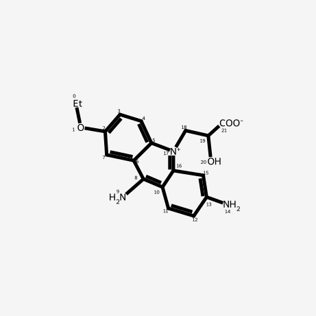 CCOc1ccc2c(c1)c(N)c1ccc(N)cc1[n+]2CC(O)C(=O)[O-]